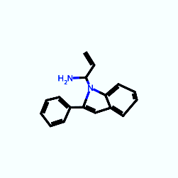 C=CC(N)n1c(-c2ccccc2)cc2ccccc21